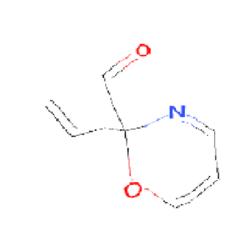 C=CC1(C=O)N=CC=CO1